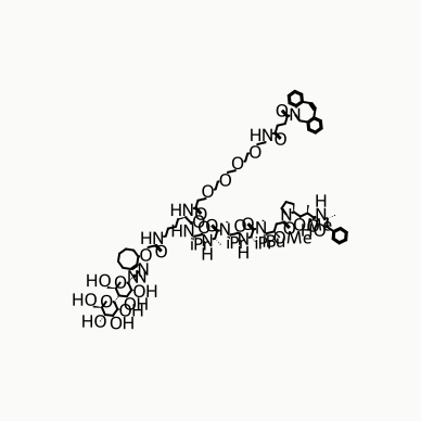 CC[C@H](C)[C@@H]([C@@H](CC(=O)N1CCC[C@H]1[C@H](OC)[C@@H](C)C(=O)N[C@H](C)[C@@H](O)c1ccccc1)OC)N(C)C(=O)[C@@H](NC(=O)[C@H](C(C)C)N(C)C(=O)[C@H](C)NC(=O)[C@@H](NC(=O)[C@@H](CCCCNC(=O)COC1CCCCCc2c1nnn2[C@H]1O[C@H](CO)C([C@H]2O[C@H](CO)[C@@H](O)[C@H](O)[C@H]2O)[C@H](O)[C@H]1O)NC(=O)CCOCCOCCOCCOCCNC(=O)CCC(=O)N1Cc2ccccc2C#Cc2ccccc21)C(C)C)C(C)C